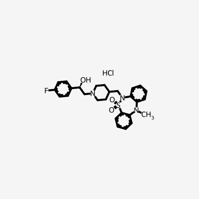 CN1c2ccccc2N(CC2CCN(C[C@H](O)c3ccc(F)cc3)CC2)S(=O)(=O)c2ccccc21.Cl